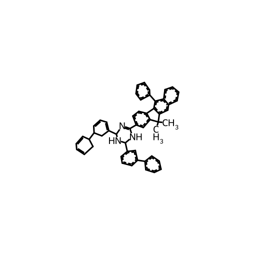 CC1(C)c2cc(C3=NC(C4=CC=CC(C5C=CC=CC5)C4)NC(c4cccc(-c5ccccc5)c4)N3)ccc2-c2c1cc1ccccc1c2-c1ccccc1